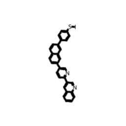 ISc1ccc(-c2ccc3ccc(-c4ccc(-c5cnc6ccccc6c5)nc4)cc3c2)cc1